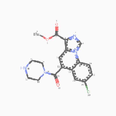 CC(C)(C)OC(=O)c1ncn2c1cc(C(=O)N1CCNCC1)c1cc(Cl)ccc12